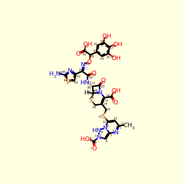 CC1=NC2=CN(C(=O)O)NN2C(SCC2=C(C(=O)O)N3C(=O)[C@@H](NC(=O)/C(=N\OC(C(=O)O)c4cc(O)c(O)c(O)c4)c4csc(N)n4)[C@H]3SC2)=C1